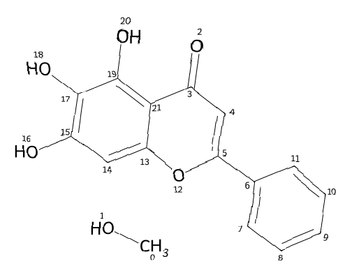 CO.O=c1cc(-c2ccccc2)oc2cc(O)c(O)c(O)c12